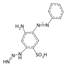 N=NNc1cc(N)c(/N=N/c2ccccc2)cc1S(=O)(=O)O